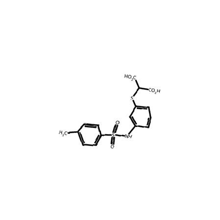 Cc1ccc(S(=O)(=O)Nc2cccc(SC(C(=O)O)C(=O)O)c2)cc1